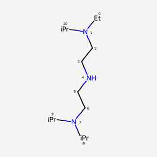 CCN(CCNCCN(C(C)C)C(C)C)C(C)C